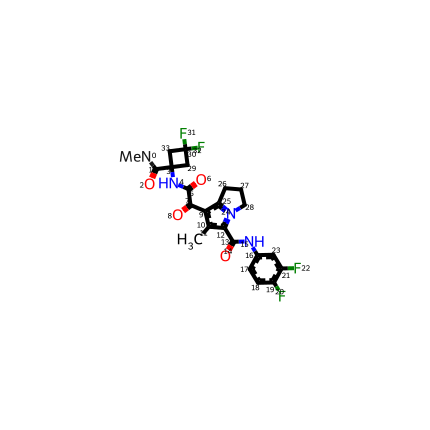 CNC(=O)C1(NC(=O)C(=O)c2c(C)c(C(=O)Nc3ccc(F)c(F)c3)n3c2CCC3)CC(F)(F)C1